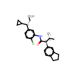 C[C@H]([C@H](C(=O)Nc1cc([C@@H](CC(=O)O)C2CC2)ccc1Cl)c1ccc2c(c1)CCC2)C(F)(F)F